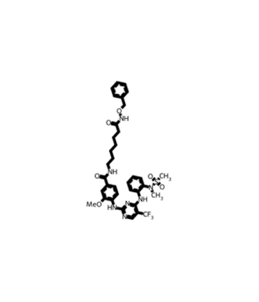 COc1cc(C(=O)NCCCCCCC(=O)NOCc2ccccc2)ccc1Nc1ncc(C(F)(F)F)c(Nc2ccccc2N(C)S(C)(=O)=O)n1